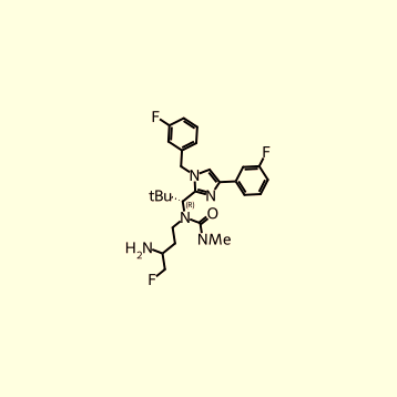 CNC(=O)N(CCC(N)CF)[C@@H](c1nc(-c2cccc(F)c2)cn1Cc1cccc(F)c1)C(C)(C)C